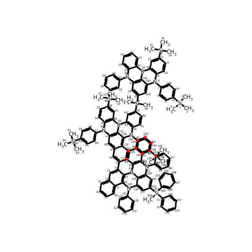 C[Si](C)(C)c1ccc(N2c3ccc([Si](C)(C)C)cc3B3c4ccccc4N(c4ccccc4)c4cc([Si](C)(C)c5ccc6c(c5)B5c7cc([Si](C)(C)C)ccc7N(c7ccc([Si](C)(C)C)cc7)c7cc8cc(-c9cc%10ccccc%10c%10c9B9c%11ccc%12ccccc%12c%11N(c%11ccccc%11)c%11cc([Si](C)(c%12ccccc%12)c%12ccccc%12)cc(c%119)N%10c9ccccc9)ccc8c(c75)N6c5ccc([Si](C)(C)C)cc5)cc2c43)cc1